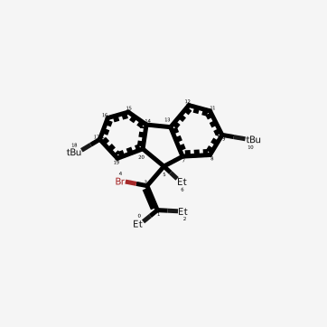 CCC(CC)=C(Br)C1(CC)c2cc(C(C)(C)C)ccc2-c2ccc(C(C)(C)C)cc21